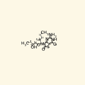 CCC[C@@H]1C[C@@H]([C@H](O)CC)O[C@H]1n1c(=O)sc2c(=O)[nH]c(N)nc21